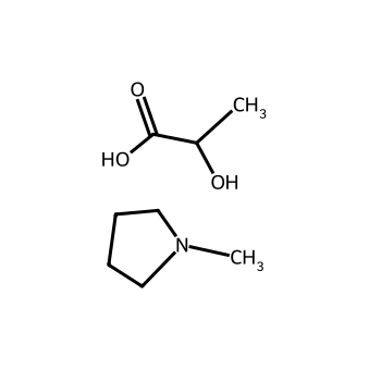 CC(O)C(=O)O.CN1CCCC1